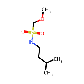 COCS(=O)(=O)NCCC(C)C